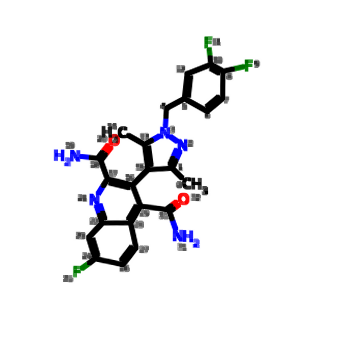 Cc1nn(Cc2ccc(F)c(F)c2)c(C)c1-c1c(C(N)=O)nc2cc(F)ccc2c1C(N)=O